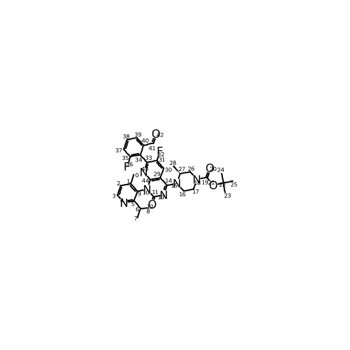 Cc1ccnc(C(C)C)c1-n1c(=O)nc(N2CCN(C(=O)OC(C)(C)C)C[C@@H]2C)c2cc(F)c(-c3c(F)cccc3C=O)nc21